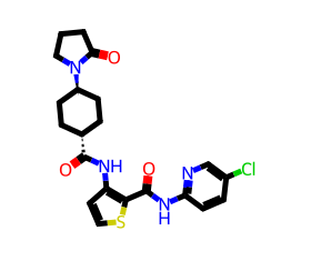 O=C(Nc1ccc(Cl)cn1)c1sccc1NC(=O)[C@H]1CC[C@H](N2CCCC2=O)CC1